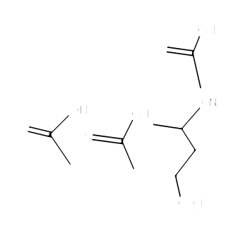 CC(C#N)CCC(=O)O.CC(O)=S.CC(O)=S.CC(O)=S